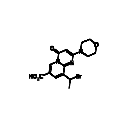 CC(Br)c1cc(C(=O)O)cn2c(=O)cc(N3CCOCC3)nc12